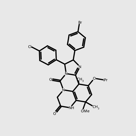 COC1(C)C=C(OC(C)C)C2(C)C3=NC(c4ccc(Br)cc4)C(c4ccc(Cl)cc4)N3C(=O)N3CC(=O)NC1=C32